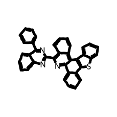 c1ccc(-c2nc(-c3nc4c5ccccc5c5sc6ccccc6c5c4c4ccccc34)nc3ccccc23)cc1